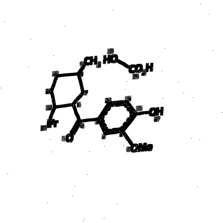 COc1cc(C(=O)C2CC(C)CCC2C(C)C)ccc1O.O=C(O)O